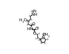 CC(C)NCCN(C)CC(=O)NC(=O)OCC[C@@H]1CCCN1C